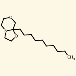 CCCCCCCCCCC12COCCN1CCO2